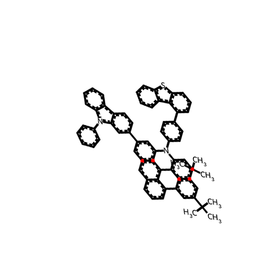 CC(C)(C)c1cc(-c2cccc3cccc(-c4ccccc4N(c4ccc(-c5cccc6sc7ccccc7c56)cc4)c4cccc(-c5ccc6c7ccccc7n(-c7ccccc7)c6c5)c4)c23)cc(C(C)(C)C)c1